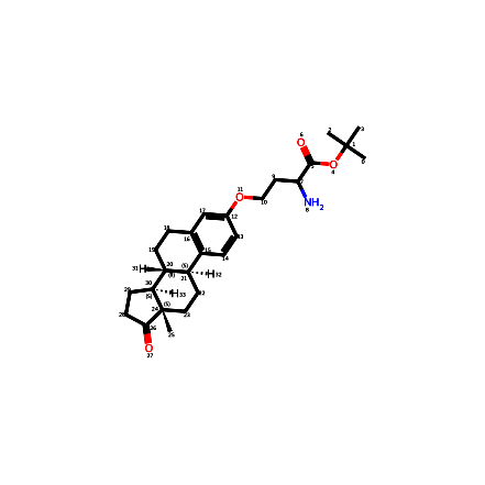 CC(C)(C)OC(=O)C(N)CCOc1ccc2c(c1)CC[C@@H]1[C@@H]2CC[C@]2(C)C(=O)CC[C@@H]12